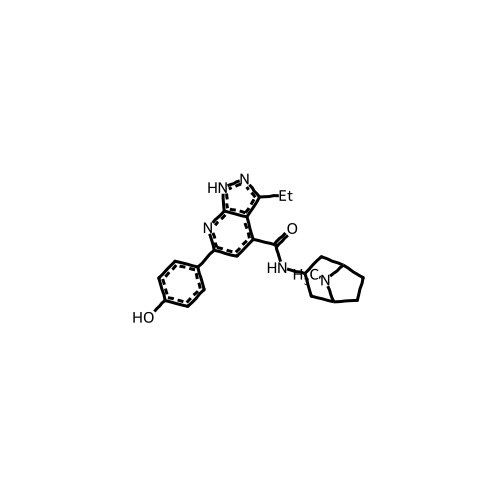 CCc1n[nH]c2nc(-c3ccc(O)cc3)cc(C(=O)NC3CC4CCC(C3)N4C)c12